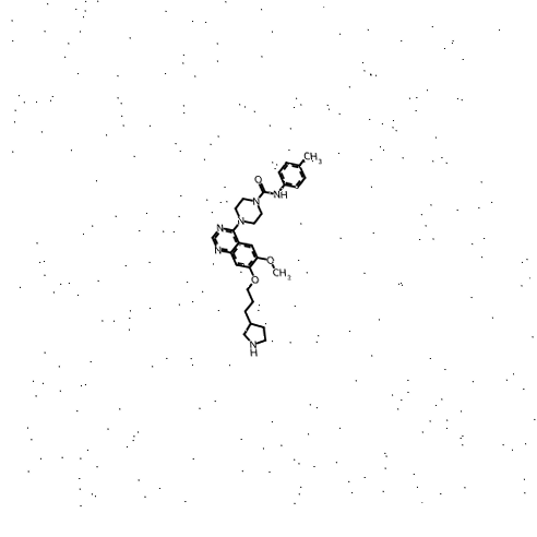 COc1cc2c(N3CCN(C(=O)Nc4ccc(C)cc4)CC3)ncnc2cc1OCCCC1CCNC1